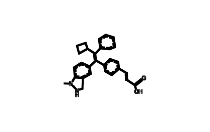 CN1NCc2cc(/C(=C(/c3ccccc3)C3CCC3)c3ccc(/C=C/C(=O)O)cc3)ccc21